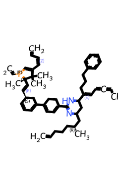 C=C/C=C\C1=C[P@](C=C)[C@@](C)(/C=C/[C@@H]2C=CC=C(C3=CC=C(C4=NC(C[C@H](C)CCCC=C)CC(/C(=C/C=C=CC)CCCc5ccccc5)N4)CC3)C2)C1(C)C